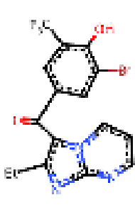 CCc1nc2ncccn2c1C(=O)c1cc(Br)c(O)c(C(F)(F)F)c1